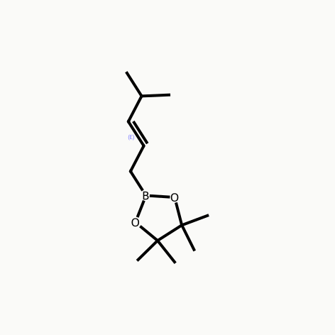 CC(C)/C=C/CB1OC(C)(C)C(C)(C)O1